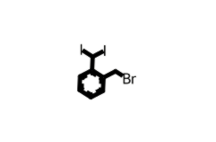 BrCc1ccccc1C(I)I